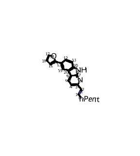 CCCCC/C=C/c1ccc2c(n1)[nH]c1ccc(-c3ccco3)cc12